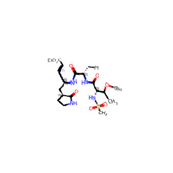 CCOC(=O)/C=C/[C@H](C[C@@H]1CCNC1=O)NC(=O)[C@H](CC(C)C)NC(=O)[C@@H](NS(C)(=O)=O)C(C)OC(C)(C)C